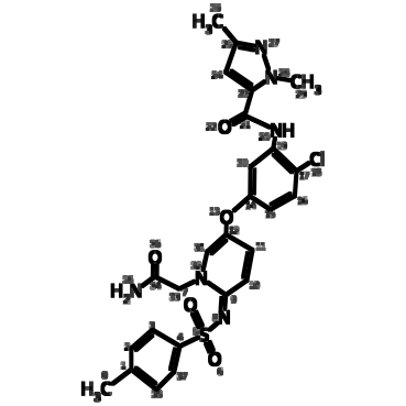 Cc1ccc(S(=O)(=O)N=c2ccc(Oc3ccc(Cl)c(NC(=O)c4cc(C)nn4C)c3)cn2CC(N)=O)cc1